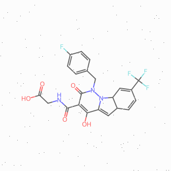 O=C(O)CNC(=O)C1=C(O)C2=CC3C=CC(C(F)(F)F)=CC3N2N(Cc2ccc(F)cc2)C1=O